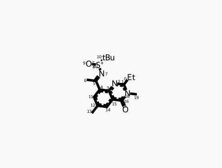 CCc1nc2c(C(C)=N[S@+]([O-])C(C)(C)C)cc(C)cc2c(=O)n1C